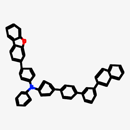 c1ccc(N(c2ccc(-c3ccc(-c4cccc(-c5ccc6ccccc6c5)c4)cc3)cc2)c2ccc(-c3ccc4c(c3)oc3ccccc34)cc2)cc1